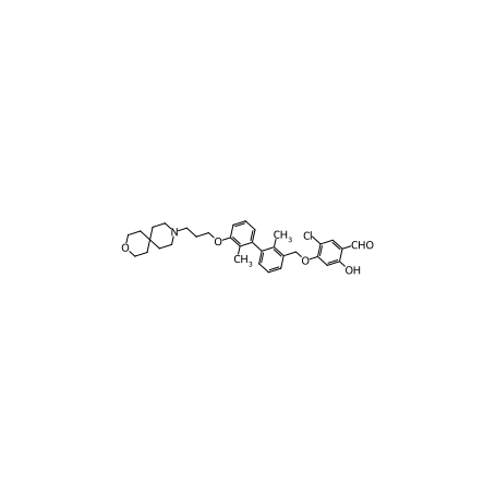 Cc1c(COc2cc(O)c(C=O)cc2Cl)cccc1-c1cccc(OCCCN2CCC3(CCOCC3)CC2)c1C